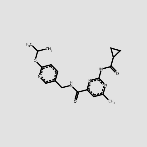 Cc1cc(C(=O)NCc2ccc(OC(C)C(F)(F)F)nc2)nc(NC(=O)C2CC2)n1